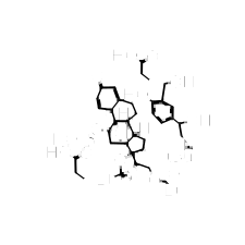 CC(C)(C)NCC(O)c1ccc(O)c(CO)c1.CCC(=O)O.CCC(=O)O.CCC(=O)OCC(=O)[C@@]1(OC(=O)CC)[C@@H](C)C[C@H]2[C@@H]3CCC4=CC(=O)C=C[C@]4(C)C3(Cl)[C@@H](OS(=O)(=O)O)C[C@@]21C